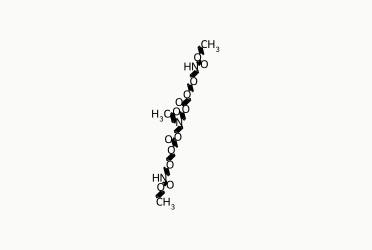 CCCOC(=O)NCCOCCOCC(=O)OCCN(CCOC(=O)COCCOCCNC(=O)OCCC)CC(C)=O